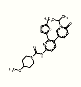 COC1CCN(C(=O)Nc2ccc(-c3ccc(=O)n(C(C)C)c3)c(-c3ccc(C)o3)n2)CC1